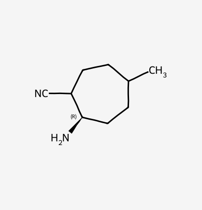 CC1CCC(C#N)[C@H](N)CC1